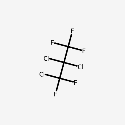 FC(F)(F)C(Cl)(Cl)C(F)(F)Cl